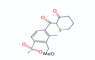 COCc1c(S(C)(=O)=O)ccc(C(=O)C2SCCCC2=O)c1C